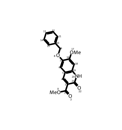 COC(=O)c1cc2cc(OCc3ccccc3)c(OC)cc2[nH]c1=O